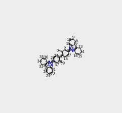 Cc1cc(-n2c3c(c4ccccc42)CCC=C3)ccc1-c1ccc(-n2c3c(c4ccccc42)CCC=C3)cc1C